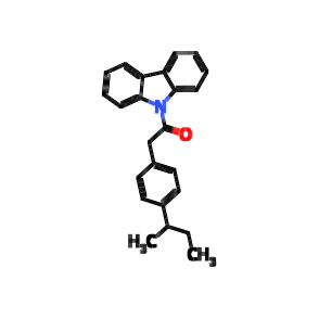 CCC(C)c1ccc(CC(=O)n2c3ccccc3c3ccccc32)cc1